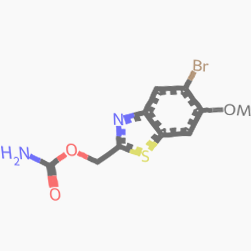 COc1cc2sc(COC(N)=O)nc2cc1Br